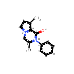 CCc1cn2ccc(C)c2c(=O)n1-c1ccccc1